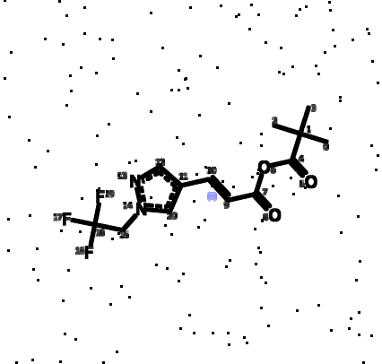 CC(C)(C)C(=O)OC(=O)/C=C/c1cnn(CC(F)(F)F)c1